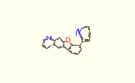 c1ccc(-c2cccc3c2oc2cc4ncccc4cc23)nc1